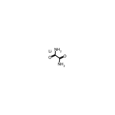 NC(=O)C(N)=O.[Li]